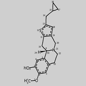 COc1cc2c(cc1O)[C@@H]1Cc3sc(CC4CC4)cc3CN1CC2